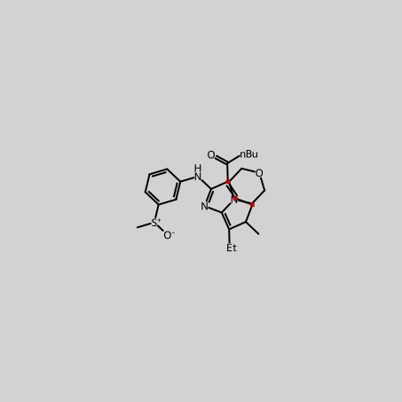 CCCCC(=O)C1=C\CC(C)/C(CC)=C(N2CCOCC2)/N=C\1Nc1cccc([S+](C)[O-])c1